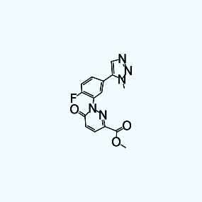 COC(=O)c1ccc(=O)n(-c2cc(-c3cnnn3C)ccc2F)n1